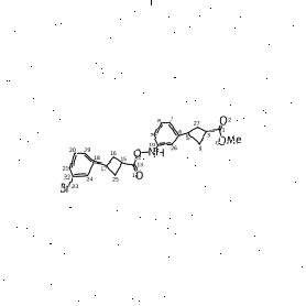 COC(=O)C1CC(c2cccc(NOC(=O)C3CC(c4cccc(Br)c4)C3)c2)C1